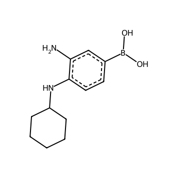 Nc1cc(B(O)O)ccc1NC1CCCCC1